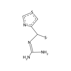 NC(N)=NC([S])c1cscn1